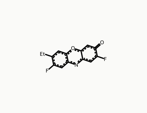 CCc1cc2oc3cc(=O)c(F)cc-3nc2cc1F